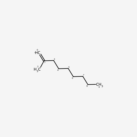 [CH]=C(C)CCCCCCC